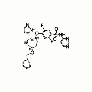 C[C@H]1C[C@H](OCc2ccccc2)CC[C@H](Oc2cc(F)c(S(=O)(=O)Nc3ccncn3)cc2F)[C@H]1c1ccnn1C